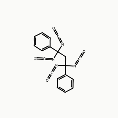 O=C=NC(CC(N=C=O)(N=C=O)c1ccccc1)(N=C=O)c1ccccc1